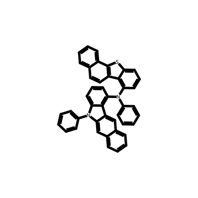 c1ccc(N(c2cccc3sc4c5ccccc5ccc4c23)c2cccc3c2c2cc4ccccc4cc2n3-c2ccccc2)cc1